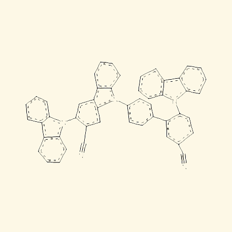 N#Cc1ccc(-n2c3ccccc3c3ccccc32)c(-c2ccc(-n3c4ccccc4c4cc(-n5c6ccccc6c6ccccc65)c(C#N)cc43)cc2)c1